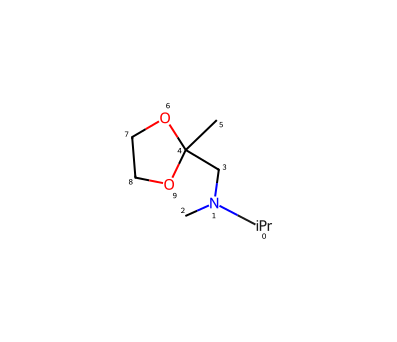 CC(C)N(C)CC1(C)OCCO1